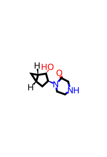 O=C1CNCCN1[C@H]1C[C@@H]2C[C@@H]2[C@@H]1O